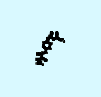 NNC(=O)[AsH]CC1CCC(OC(=O)OC(=O)C(F)(F)F)CC1